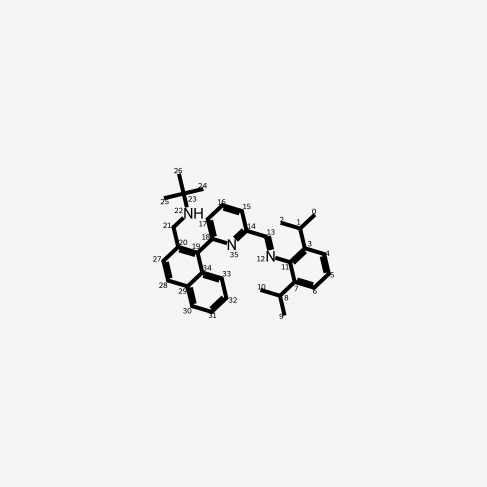 CC(C)c1cccc(C(C)C)c1N=Cc1cccc(-c2c(CNC(C)(C)C)ccc3ccccc23)n1